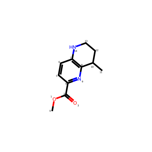 COC(=O)c1ccc2c(n1)C(C)CCN2